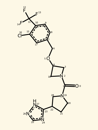 O=C(N1CC(OCc2ccc(C(F)(F)F)c(Cl)c2)C1)N1CCC(c2ncn[nH]2)C1